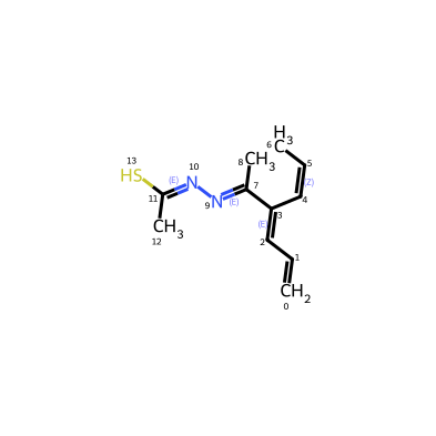 C=C/C=C(\C=C/C)C(/C)=N/N=C(\C)S